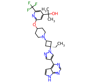 CC[C@]1(n2cc(-c3ncnc4[nH]ccc34)cn2)C[C@@H](N2CCC(Oc3cc(C(C)(C)O)cc(C(F)(F)F)n3)CC2)C1